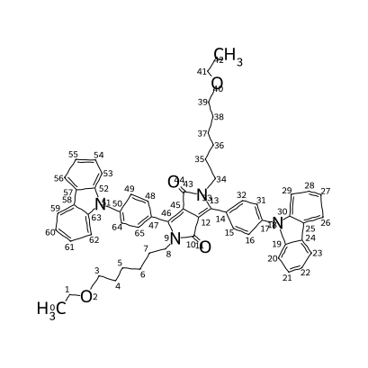 CCOCCCCCCN1C(=O)C2=C(c3ccc(-n4c5ccccc5c5ccccc54)cc3)N(CCCCCCOCC)C(=O)C2=C1c1ccc(-n2c3ccccc3c3ccccc32)cc1